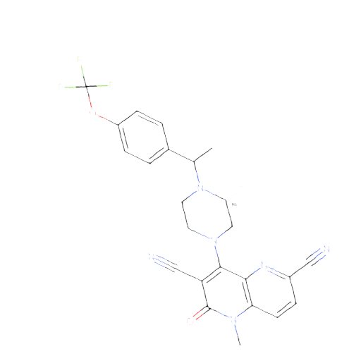 CC(c1ccc(OC(F)(F)F)cc1)N1CCN(c2c(C#N)c(=O)n(C)c3ccc(C#N)nc23)C[C@H]1C